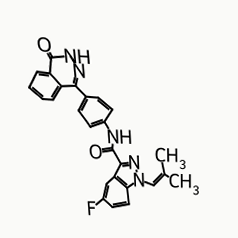 CC(C)=Cn1nc(C(=O)Nc2ccc(-c3n[nH]c(=O)c4ccccc34)cc2)c2cc(F)ccc21